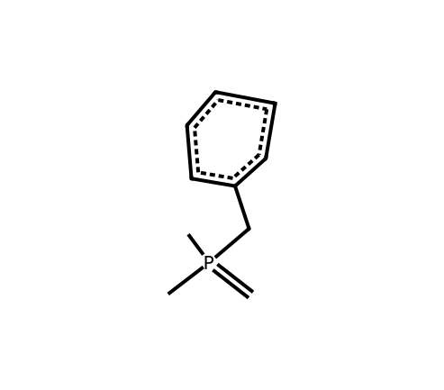 C=P(C)(C)Cc1ccccc1